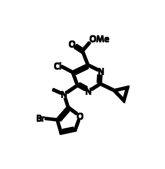 COC(=O)c1nc(C2CC2)nc(N(C)c2occc2Br)c1Cl